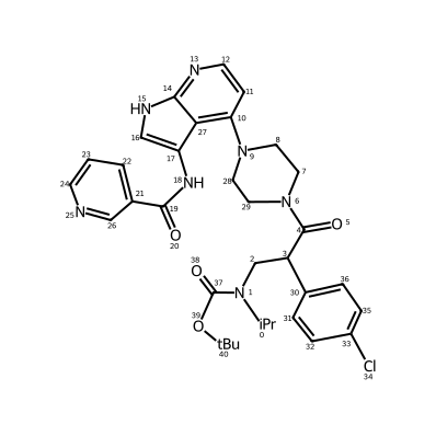 CC(C)N(CC(C(=O)N1CCN(c2ccnc3[nH]cc(NC(=O)c4cccnc4)c23)CC1)c1ccc(Cl)cc1)C(=O)OC(C)(C)C